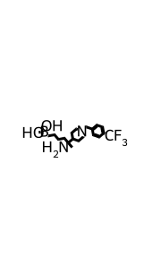 CC(N)(CCCCB(O)O)C1CCN(Cc2ccc(C(F)(F)F)cc2)CC1